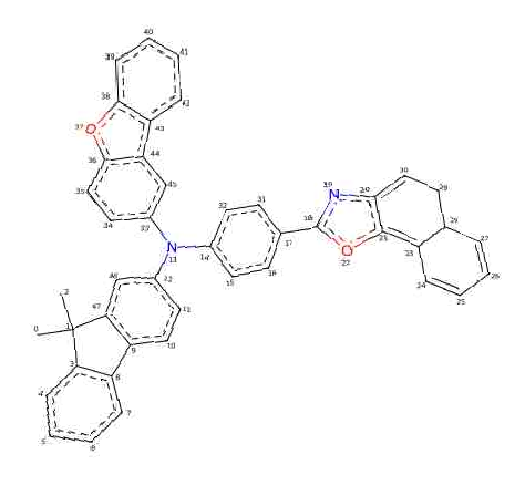 CC1(C)c2ccccc2-c2ccc(N(c3ccc(-c4nc5c(o4)=C4C=CC=CC4CC=5)cc3)c3ccc4oc5ccccc5c4c3)cc21